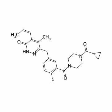 C/C=C\c1c(C)c(Cc2ccc(F)c(C(=O)N3CCN(C(=O)C4CC4)CC3)c2)n[nH]c1=O